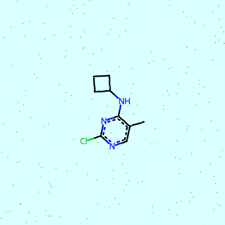 Cc1cnc(Cl)nc1NC1CCC1